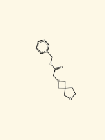 O=C(CN1CC2(CCOC2)C1)OCc1ccccc1